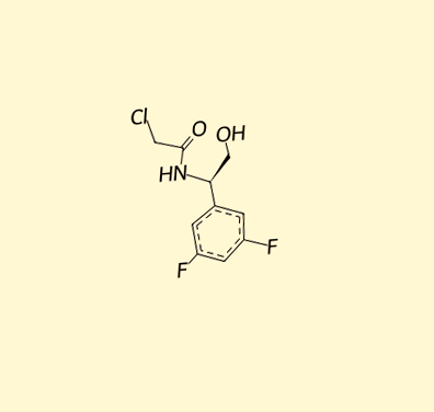 O=C(CCl)N[C@@H](CO)c1cc(F)cc(F)c1